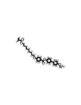 C=C(C)C(=O)OCCCCCCCCCOc1ccc(C(=O)Oc2ccc(-c3ccc(OCCC)cn3)cc2)cc1